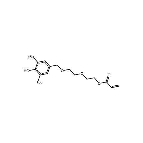 C=CC(=O)OCCOCCOCc1cc(C(C)(C)C)c(O)c(C(C)(C)C)c1